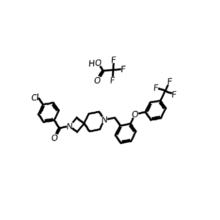 O=C(O)C(F)(F)F.O=C(c1ccc(Cl)cc1)N1CC2(CCN(Cc3ccccc3Oc3cccc(C(F)(F)F)c3)CC2)C1